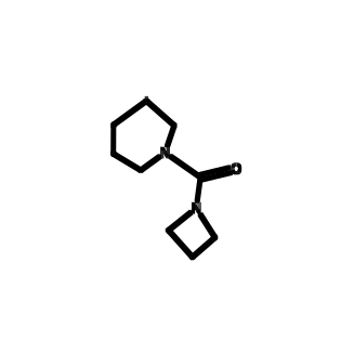 O=C(N1C[CH]CCC1)N1CCC1